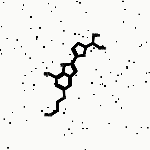 COCCOc1cc([N+](=O)[O-])c2[nH]c(C3=CCC(C(OC)OC)S3)cc2c1